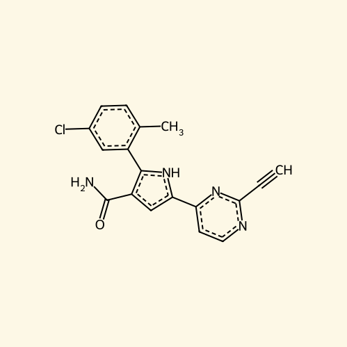 C#Cc1nccc(-c2cc(C(N)=O)c(-c3cc(Cl)ccc3C)[nH]2)n1